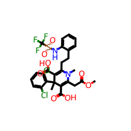 COC(=O)CC1=C(C(=O)O)C(C)(c2c(Cl)cccc2Cl)C(C(=O)O)=C(CCc2ccccc2NS(=O)(=O)C(F)(F)F)N1C